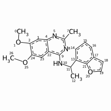 COc1cc2nc(C)nc(NC(C)c3cccc4ccoc34)c2cc1OC